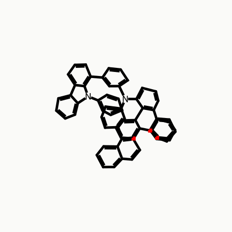 c1ccc(-c2ccccc2-c2c(-c3ccccc3)cccc2N(c2cccc(-c3cccc4ccccc34)c2)c2cccc(-c3cccc4c5ccccc5n(-c5ccccc5)c34)c2)cc1